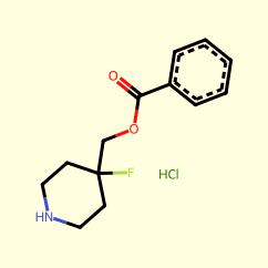 Cl.O=C(OCC1(F)CCNCC1)c1ccccc1